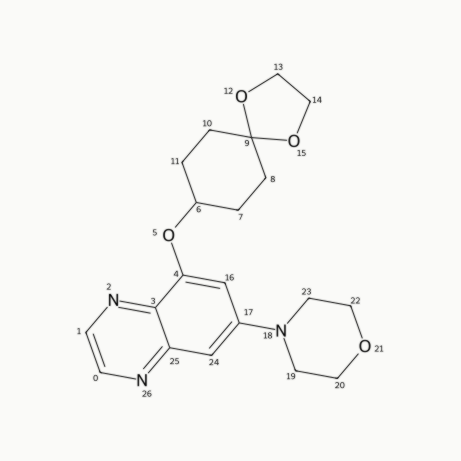 c1cnc2c(OC3CCC4(CC3)OCCO4)cc(N3CCOCC3)cc2n1